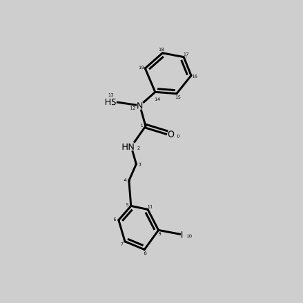 O=C(NCCc1cccc(I)c1)N(S)c1cc[c]cc1